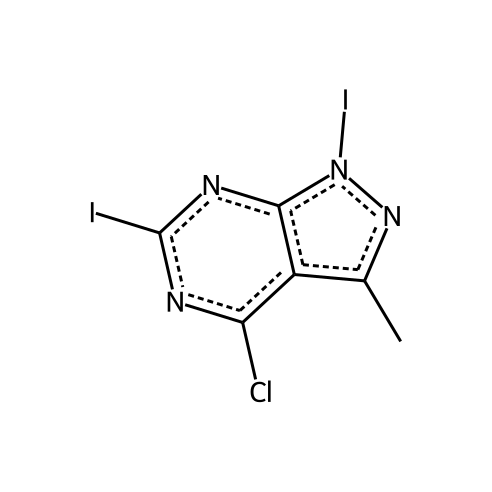 Cc1nn(I)c2nc(I)nc(Cl)c12